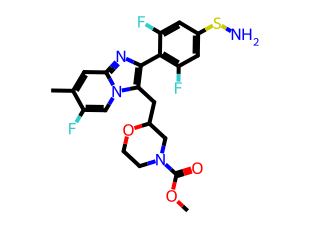 COC(=O)N1CCOC(Cc2c(-c3c(F)cc(SN)cc3F)nc3cc(C)c(F)cn23)C1